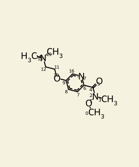 CON(C)C(=O)c1ccc(OCCN(C)C)cn1